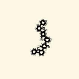 Cc1cc(-c2cccc3c2sc2ccccc23)c(C)cc1-c1cccc(-c2cc(C)c(-c3cccc4c3sc3ccccc34)cc2C)c1